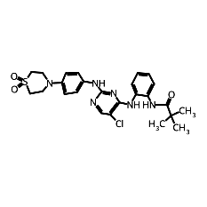 CC(C)(C)C(=O)Nc1ccccc1Nc1nc(Nc2ccc(N3CCS(=O)(=O)CC3)cc2)ncc1Cl